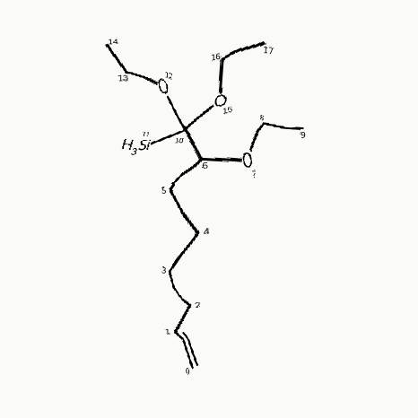 C=CCCCCC(OCC)C([SiH3])(OCC)OCC